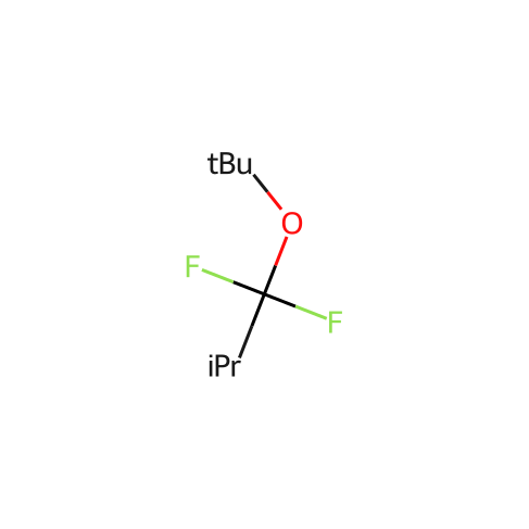 CC(C)C(F)(F)OC(C)(C)C